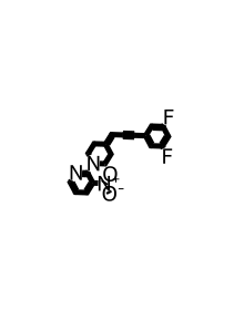 O=[N+]([O-])c1cccnc1N1CCC(=CC#Cc2cc(F)cc(F)c2)CC1